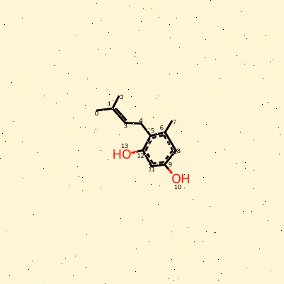 CC(C)=CCc1c(C)[c]c(O)cc1O